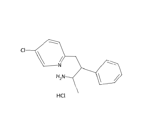 CC(N)C(Cc1ccc(Cl)cn1)c1ccccc1.Cl